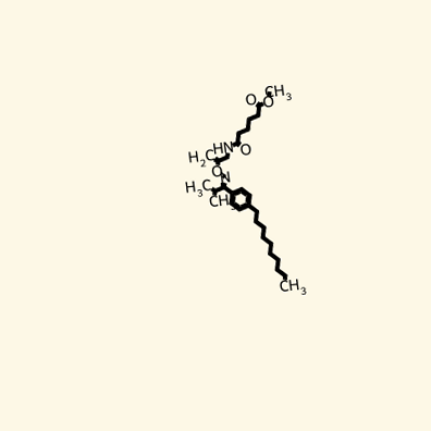 C=C(CNC(=O)CCCCC(=O)OC)O/N=C(/c1ccc(CCCCCCCCCC)cc1)C(C)C